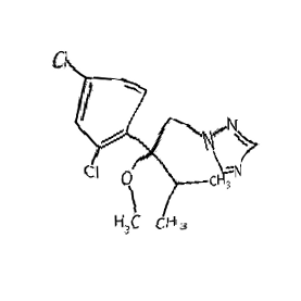 COC(Cn1cncn1)(c1ccc(Cl)cc1Cl)C(C)C